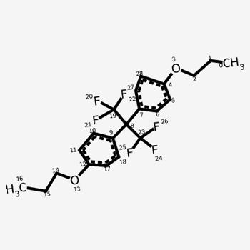 CCCOc1ccc(C(c2ccc(OCCC)cc2)(C(F)(F)F)C(F)(F)F)cc1